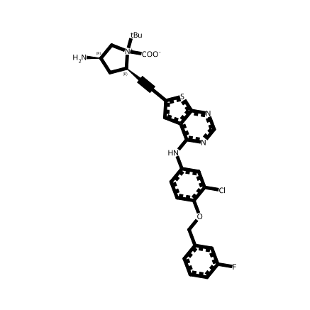 CC(C)(C)[N+]1(C(=O)[O-])C[C@H](N)C[C@@H]1C#Cc1cc2c(Nc3ccc(OCc4cccc(F)c4)c(Cl)c3)ncnc2s1